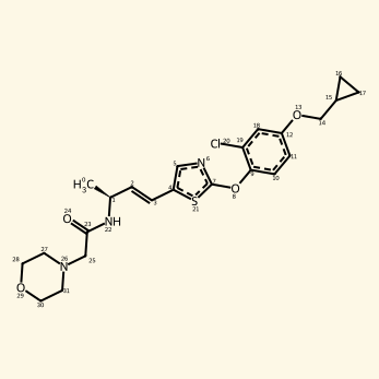 C[C@@H](/C=C/c1cnc(Oc2ccc(OCC3CC3)cc2Cl)s1)NC(=O)CN1CCOCC1